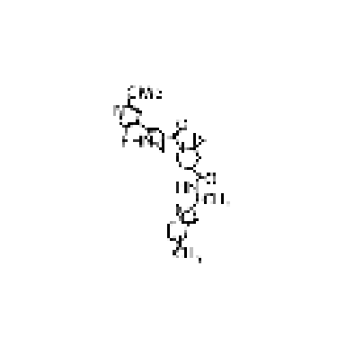 COc1cc(-c2cc(C(=O)N3CC[C@H](C(=O)N[C@@H](C)c4cc5n(n4)CCN(C)C5)CC34CC4)n[nH]2)c(F)cn1